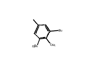 CCCCc1cc(C)cc(C(C)CC)c1O